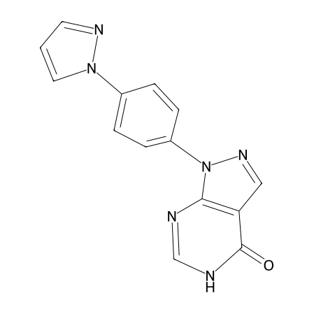 O=c1[nH]cnc2c1cnn2-c1ccc(-n2cccn2)cc1